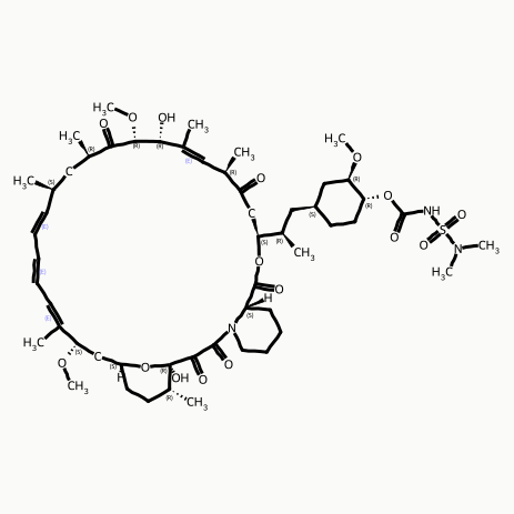 CO[C@H]1C[C@@H]2CC[C@@H](C)[C@@](O)(O2)C(=O)C(=O)N2CCCC[C@H]2C(=O)O[C@H]([C@H](C)C[C@@H]2CC[C@@H](OC(=O)NS(=O)(=O)N(C)C)[C@H](OC)C2)CC(=O)[C@H](C)/C=C(\C)[C@@H](O)[C@@H](OC)C(=O)[C@H](C)C[C@H](C)/C=C/C=C/C=C/1C